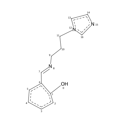 Oc1ccccc1C=NCCCn1ccnc1